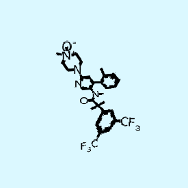 Cc1ccccc1-c1cc(N2CC[N+](C)([O-])CC2)ncc1N(C)C(=O)C(C)(C)c1cc(C(F)(F)F)cc(C(F)(F)F)c1